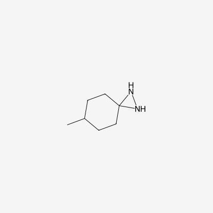 CC1CCC2(CC1)NN2